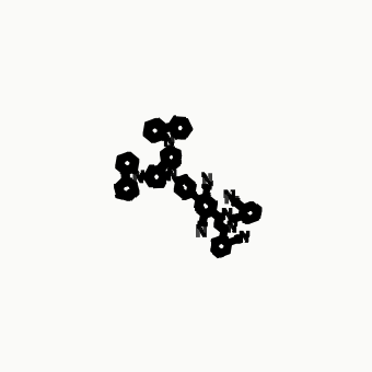 N#Cc1cc(-c2cc(-c3ccccc3C#N)nc(-c3ccccc3C#N)n2)c(C#N)cc1-c1ccc(-n2c3ccc(-n4c5ccccc5c5ccccc54)cc3c3cc(-n4c5ccccc5c5ccccc54)ccc32)cc1